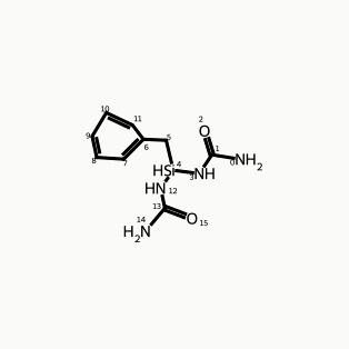 NC(=O)N[SiH](Cc1ccccc1)NC(N)=O